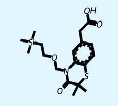 CC1(C)Sc2ccc(CC(=O)O)cc2N(COCC[Si](C)(C)C)C1=O